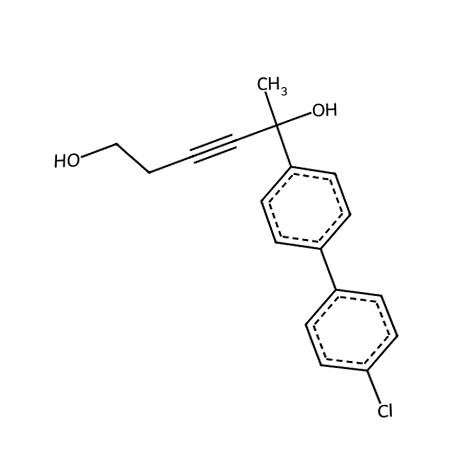 CC(O)(C#CCCO)c1ccc(-c2ccc(Cl)cc2)cc1